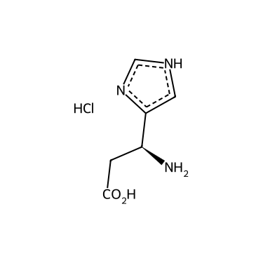 Cl.N[C@@H](CC(=O)O)c1c[nH]cn1